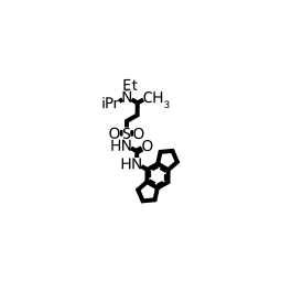 CCN(C(C)C)C(C)CCS(=O)(=O)NC(=O)Nc1c2c(cc3c1CCC3)CCC2